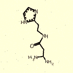 NC(N)CC(=O)NCCc1ncc[nH]1